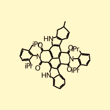 CC1C=Cc2c([nH]c3c4c5c(c6[nH]c7ccccc7c6c6c5c(c23)C(=O)N(c2c(C(C)C)cccc2C(C)C)C6=O)C(=O)N(c2c(C(C)C)cccc2C(C)C)C4=O)C1